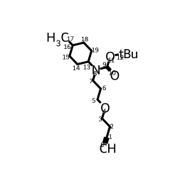 C#CCCOCCCN(C(=O)OC(C)(C)C)C1CCC(C)CC1